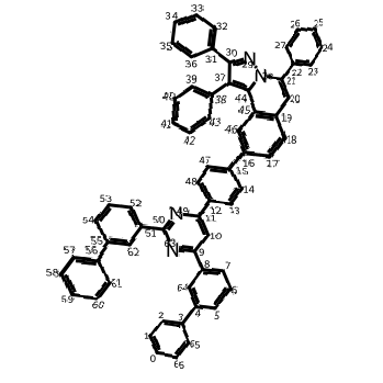 c1ccc(-c2cccc(-c3cc(-c4ccc(-c5ccc6cc(-c7ccccc7)n7nc(-c8ccccc8)c(-c8ccccc8)c7c6c5)cc4)nc(-c4cccc(-c5ccccc5)c4)n3)c2)cc1